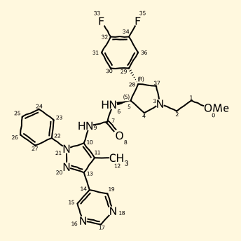 COCCN1C[C@@H](NC(=O)Nc2c(C)c(-c3cncnc3)nn2-c2ccccc2)[C@H](c2ccc(F)c(F)c2)C1